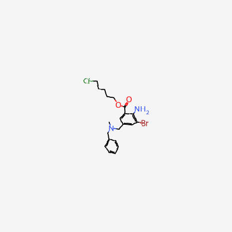 CN(Cc1ccccc1)Cc1cc(Br)c(N)c(C(=O)OCCCCCCl)c1